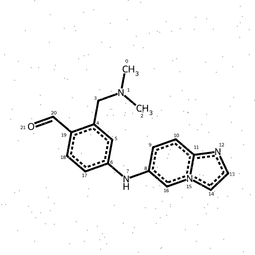 CN(C)Cc1cc(Nc2ccc3nccn3c2)ccc1C=O